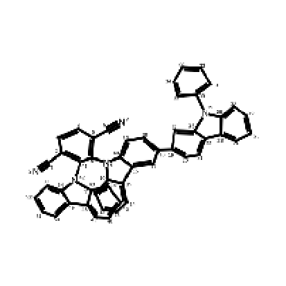 N#Cc1ccc(C#N)c(-n2c3ccccc3c3cc(-c4ccc5c6ccccc6n(-c6ccccc6)c5c4)ccc32)c1-n1c2ccccc2c2ccccc21